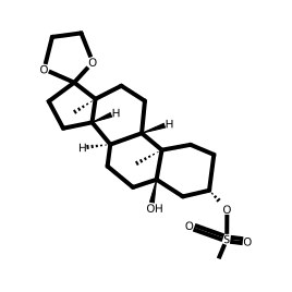 C[C@]12CC[C@H]3[C@@H](CC[C@@]4(O)C[C@@H](OS(C)(=O)=O)CC[C@]34C)[C@@H]1CCC21OCCO1